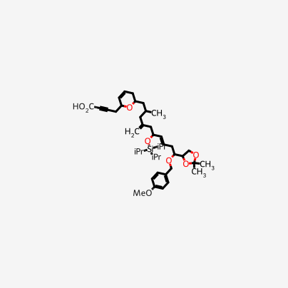 C=C(CC(C)CC1CC=CC(CC#CC(=O)O)O1)CC(/C=C/CC(OCc1ccc(OC)cc1)C1COC(C)(C)O1)O[Si](C(C)C)(C(C)C)C(C)C